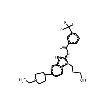 CCN1CCC(c2ccc3c(c2)[nH]/c(=N\C(=O)c2cccc(C(F)(F)F)c2)n3CCCO)CC1